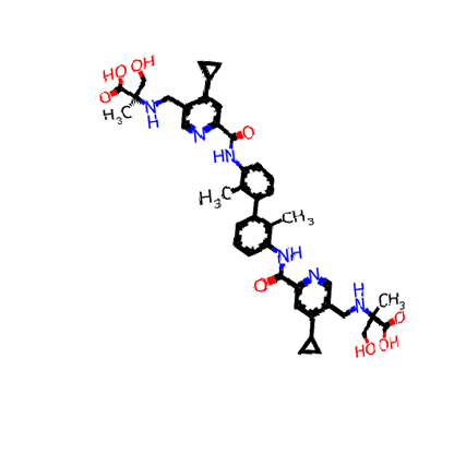 Cc1c(NC(=O)c2cc(C3CC3)c(CNC(C)(CO)C(=O)O)cn2)cccc1-c1cccc(NC(=O)c2cc(C3CC3)c(CN[C@](C)(CO)C(=O)O)cn2)c1C